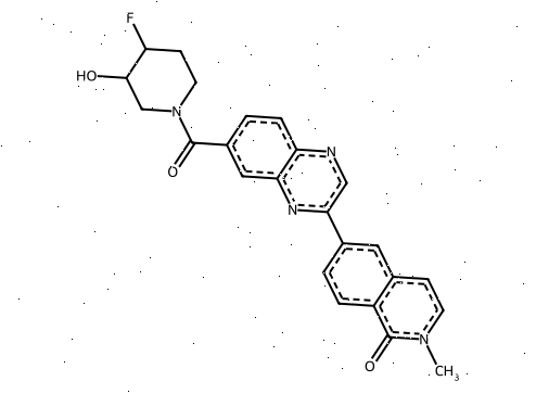 Cn1ccc2cc(-c3cnc4ccc(C(=O)N5CCC(F)C(O)C5)cc4n3)ccc2c1=O